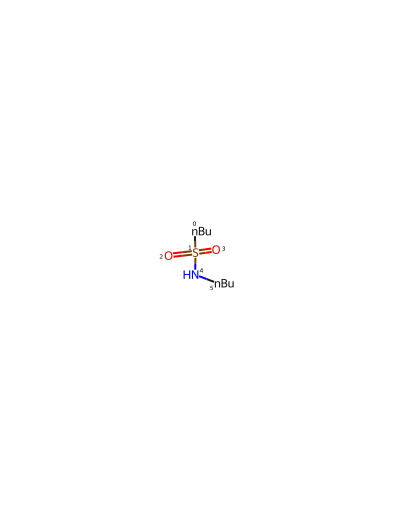 [CH2]CCCS(=O)(=O)NCCCC